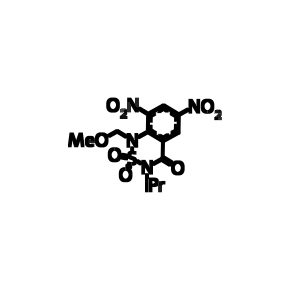 COCN1c2c(cc([N+](=O)[O-])cc2[N+](=O)[O-])C(=O)N(C(C)C)S1(=O)=O